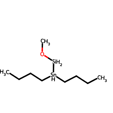 CCC[CH2][SnH]([CH2]CCC)[SiH2]OC